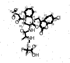 CNC(C)C(=O)N[C@@H]1C(=O)N(Cc2cc(=O)oc3cc(Cl)ccc23)c2ccccc2N(C(=O)CS(C)(=O)=O)[C@H]1C.O=C(O)C(F)(F)F